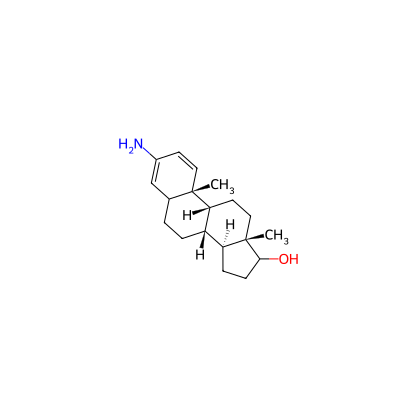 C[C@]12C=CC(N)=CC1CC[C@@H]1[C@H]2CC[C@]2(C)C(O)CC[C@@H]12